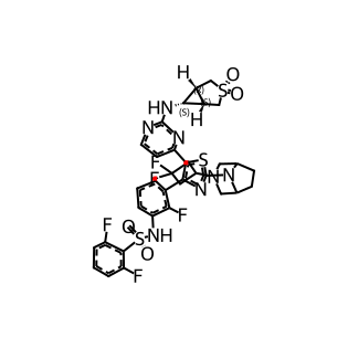 O=S1(=O)C[C@@H]2[C@H](C1)[C@@H]2Nc1nccc(-c2sc(N3C4CCC3CN(C3CC(F)(F)C3)C4)nc2-c2cccc(NS(=O)(=O)c3c(F)cccc3F)c2F)n1